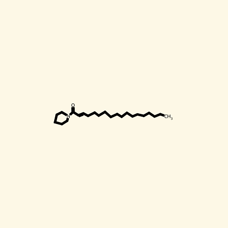 CCCCCCCCCCCCCCC/C=C/C(=O)N1CCCCC1